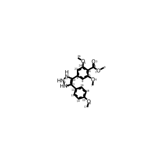 COC(=O)c1c(OC)cc(C2=C(c3ccc(OC)cc3)NNN2)cc1OC